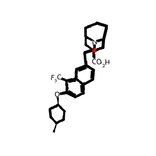 C[C@H]1CC[C@@H](Oc2ccc3ccc(CCN4C5CCCC4CC(C(=O)O)C5)cc3c2C(F)(F)F)CC1